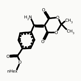 CCCCCCOC(=O)c1ccc(C(N)=C2C(=O)OC(C)(C)OC2=O)cc1